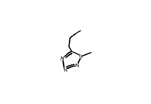 CCc1nnnn1C